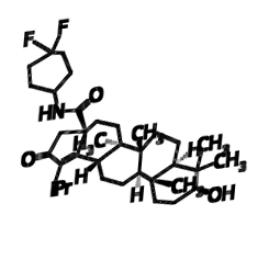 CC(C)C1=C2[C@H]3CC[C@@H]4[C@@]5(C)CC[C@H](O)C(C)(C)[C@@H]5CC[C@@]4(C)[C@]3(C)CC[C@@]2(C(=O)NC2CCC(F)(F)CC2)CC1=O